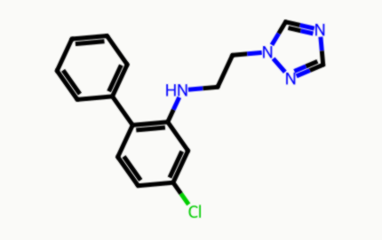 Clc1ccc(-c2ccccc2)c(NCCn2cncn2)c1